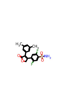 Cc1cc(C)cc(C2=C(c3cc(F)c(S(N)(=O)=O)cc3F)COC2=O)c1